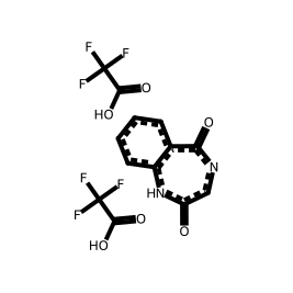 O=C(O)C(F)(F)F.O=C(O)C(F)(F)F.O=c1cnc(=O)c2ccccc2[nH]1